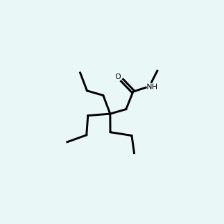 CCCC(CCC)(CCC)CC(=O)NC